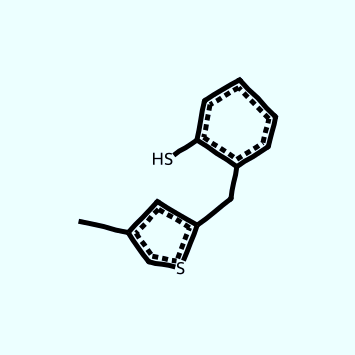 Cc1csc(Cc2ccccc2S)c1